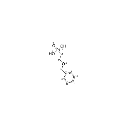 O=P(O)(O)CCOCc1ccccc1